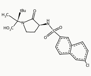 CC(C)(C)[C@](C)(C(=O)O)N1CC[C@H](NS(=O)(=O)c2ccc3cc(Cl)ccc3c2)C1=O